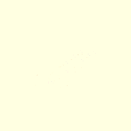 CC1=CC(C(=O)Nc2ccc(C)c(N3Cc4cnc(Nc5cc(C)nn5C)nc4N(C)C3=O)c2)CC=C1